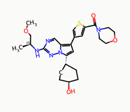 COC[C@H](C)Nc1ncc2c(-c3csc(C(=O)N4CCOCC4)c3)cc([C@H]3CC[C@H](O)CC3)n2n1